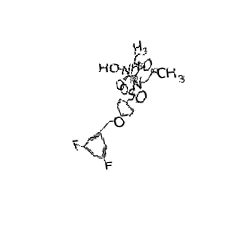 C[C@@H]1O[C@@H](C)CN(S(=O)(=O)c2ccc(OCc3cc(F)cc(F)c3)cc2)[C@H]1C(=O)NO